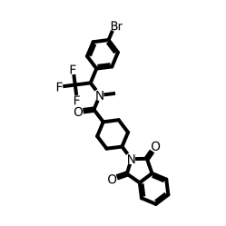 CN(C(=O)C1CCC(N2C(=O)c3ccccc3C2=O)CC1)C(c1ccc(Br)cc1)C(F)(F)F